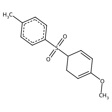 COC1=CCC(S(=O)(=O)c2ccc(C)cc2)C=C1